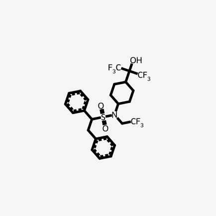 O=S(=O)(C(Cc1ccccc1)c1ccccc1)N(CC(F)(F)F)C1CCC(C(O)(C(F)(F)F)C(F)(F)F)CC1